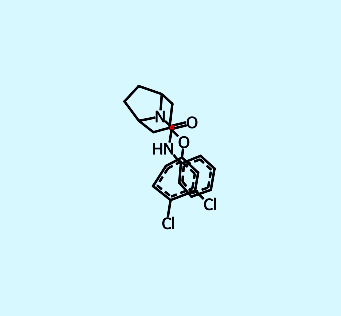 O=C(Nc1ccccc1)N1C2CCC1CC(Oc1ccc(Cl)c(Cl)c1)C2